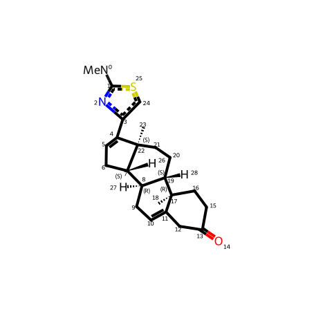 CNc1nc(C2=CC[C@H]3[C@@H]4CC=C5CC(=O)CC[C@]5(C)[C@H]4CC[C@]23C)cs1